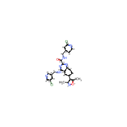 Cc1noc(C)c1-c1ccc2nc(C(=O)NCc3ccnc(Cl)c3)nc(NCc3cncc(Cl)c3)c2c1